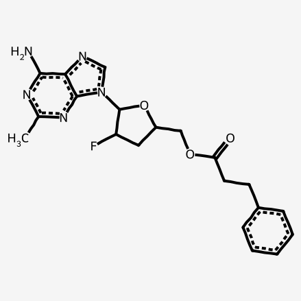 Cc1nc(N)c2ncn(C3OC(COC(=O)CCc4ccccc4)CC3F)c2n1